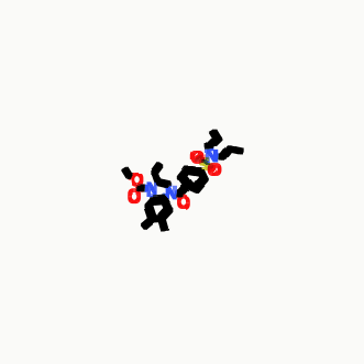 CCCN(CCC)S(=O)(=O)c1ccc(C(=O)N2CC(CC)N(C(=O)OCC)c3cc(C)c(C)cc32)cc1